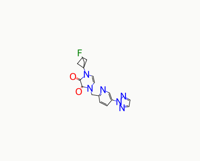 O=c1c(=O)n(C23CC(F)(C2)C3)ccn1Cc1ccc(-n2nccn2)cn1